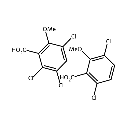 COc1c(Cl)cc(Cl)c(Cl)c1C(=O)O.COc1c(Cl)ccc(Cl)c1C(=O)O